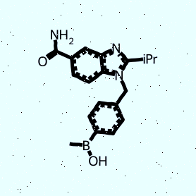 CB(O)c1ccc(Cn2c(C(C)C)nc3cc(C(N)=O)ccc32)cc1